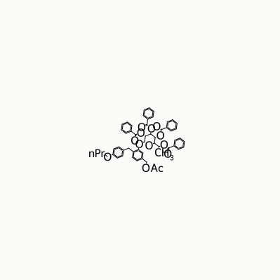 CCCOc1ccc(Cc2ccc(COC(C)=O)cc2O[C@@H]2O[C@H]([C@@H](C)OC(=O)c3ccccc3)[C@@H](OC(=O)c3ccccc3)[C@H](OC(=O)c3ccccc3)[C@H]2OC(=O)c2ccccc2)cc1